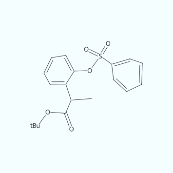 CC(C(=O)OC(C)(C)C)c1ccccc1OS(=O)(=O)c1ccccc1